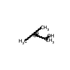 CCCCCCCCC(CCCCCCCC)OC(=O)CCCCCCCN(C)CCO